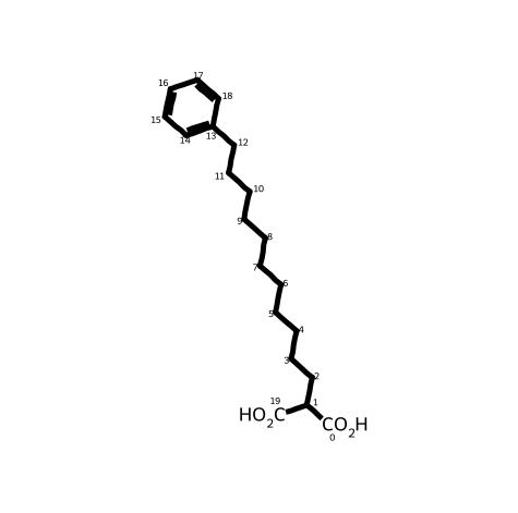 O=C(O)C(CCCCCCCCCCCc1ccccc1)C(=O)O